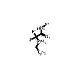 CC[SiH2]C(F)(F)C(=O)NF